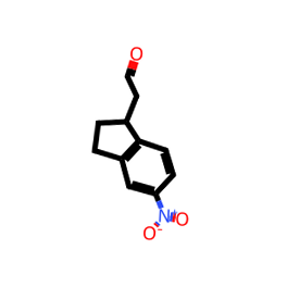 O=CCC1CCc2cc([N+](=O)[O-])ccc21